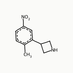 Cc1ccc([N+](=O)[O-])cc1C1CNC1